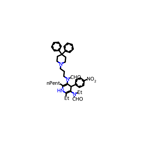 CCCCCC1=C(N(C=O)CCCN2CCC(c3ccccc3)(c3ccccc3)CC2)C(c2ccc([N+](=O)[O-])cc2)C(N(C=O)CC)=C(CC)N1